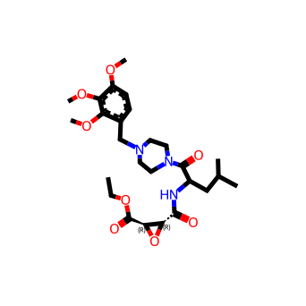 CCOC(=O)[C@@H]1O[C@H]1C(=O)NC(CC(C)C)C(=O)N1CCN(Cc2ccc(OC)c(OC)c2OC)CC1